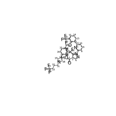 O=C(O)c1cnn(-c2cccc(-c3cccc(C(F)(F)F)c3OCc3ccc(C4CN(CCCC(F)(F)F)C4)cc3)n2)c1C(F)(F)F